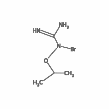 CC(C)ON(Br)C(=N)N